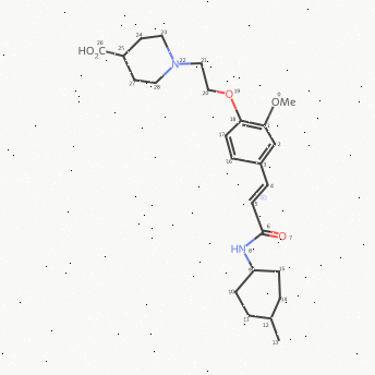 COc1cc(/C=C/C(=O)NC2CCC(C)CC2)ccc1OCCN1CCC(C(=O)O)CC1